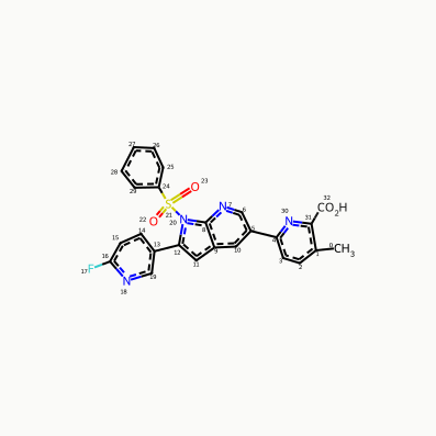 Cc1ccc(-c2cnc3c(c2)cc(-c2ccc(F)nc2)n3S(=O)(=O)c2ccccc2)nc1C(=O)O